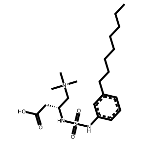 CCCCCCCCc1cccc(NS(=O)(=O)N[C@H](CC(=O)O)C[N+](C)(C)C)c1